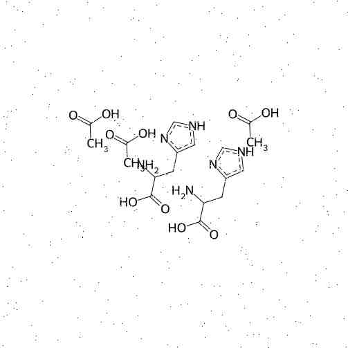 CC(=O)O.CC(=O)O.CC(=O)O.NC(Cc1c[nH]cn1)C(=O)O.NC(Cc1c[nH]cn1)C(=O)O